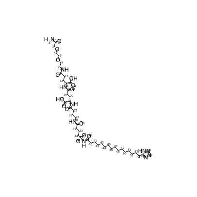 NC(=O)COCCOCCNC(=O)CC[C@H](NC(=O)CC[C@H](NC(=O)CCCNC(=O)CCCS(=O)(=O)NC(=O)CCCCCCCCCCCCCCCc1nnn[nH]1)C(=O)O)C(=O)O